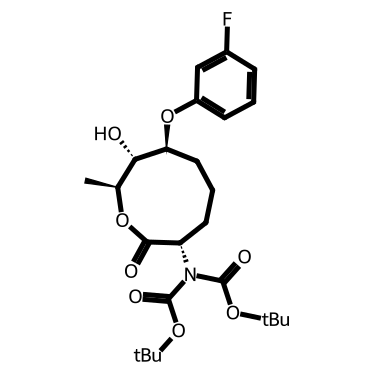 C[C@@H]1OC(=O)[C@@H](N(C(=O)OC(C)(C)C)C(=O)OC(C)(C)C)CCC[C@H](Oc2cccc(F)c2)[C@H]1O